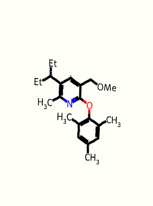 CCC(CC)c1[c]c(COC)c(Oc2c(C)cc(C)cc2C)nc1C